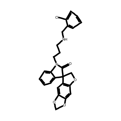 O=C1N(CCCNCc2ccccc2Cl)c2ccccc2C12COc1cc3c(cc12)OCO3